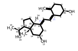 C=C1CC[C@@H](O)C/C1=C/C=C1\C[C@@H](O)C[C@]2(C)[C@@H]([C@H](C)O)CC[C@@H]12